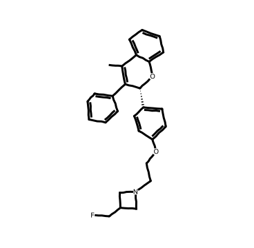 CC1=C(c2ccccc2)[C@@H](c2ccc(OCCN3CC(CF)C3)cc2)Oc2ccccc21